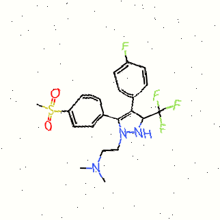 CN(C)CCN1NC(C(F)(F)F)C(c2ccc(F)cc2)=C1c1ccc(S(C)(=O)=O)cc1